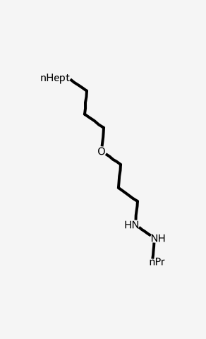 CCCCCCCCCCOCCCNNCCC